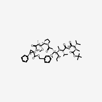 CC[C@H](C)[C@@H]([C@@H](CC(=O)N1CCC[C@H]1[C@H](OC)[C@@H](C)C(=O)N[C@@]1(C(=O)OCc2ccccc2)C[C@@H]1c1ccccc1)OC)N(C)[C@H](C(=O)NC(=O)[C@H](C(C)C)N(C)C(=O)OC(C)(C)C)C(C)C